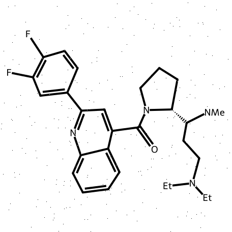 CCN(CC)CCC(NC)[C@H]1CCCN1C(=O)c1cc(-c2ccc(F)c(F)c2)nc2ccccc12